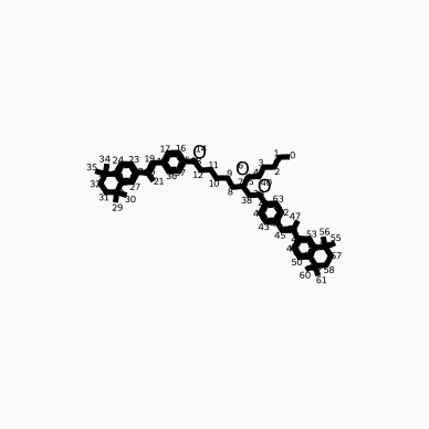 CCCCCC(=O)C(CCCCCC(=O)c1ccc(/C=C(\C)c2ccc3c(c2)C(C)(C)CCC3(C)C)cc1)CC(=O)c1ccc(/C=C(\C)c2ccc3c(c2)C(C)(C)CCC3(C)C)cc1